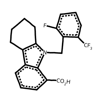 O=C(O)c1cccc2c3c(n(Cc4c(F)cccc4C(F)(F)F)c12)CCCC3